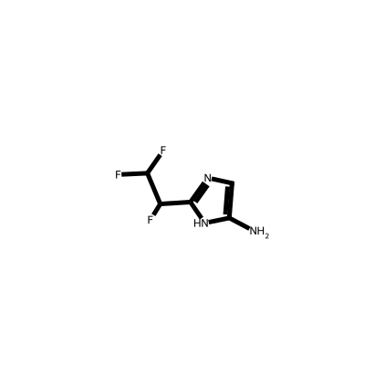 Nc1cnc(C(F)C(F)F)[nH]1